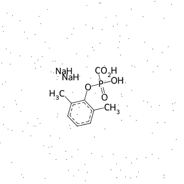 Cc1cccc(C)c1OP(=O)(O)C(=O)O.[NaH].[NaH]